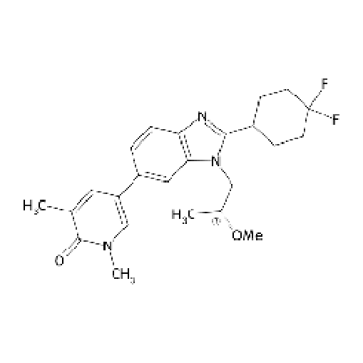 CO[C@H](C)Cn1c(C2CCC(F)(F)CC2)nc2ccc(-c3cc(C)c(=O)n(C)c3)cc21